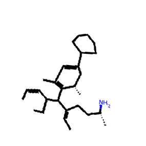 C/C=C\C(CC)C(C1=C(C)C=C(C2CCCCC2)C[C@@H]1C)/C(=C/C)CC[C@@H](C)N